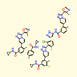 Cc1c(F)cc(C(=O)NC2CC2)cc1-c1ccn2c(-c3c(F)cccc3Cl)nnc2c1.Cc1ccc(C(=O)NC2CC2)cc1.Cc1ccc(C(=O)NC2CC2)cc1-c1ccn2c(-c3ocnc3C)nnc2c1.Cc1ccc(C(=O)Nc2ccnn2C)cc1-c1ccn2c(-c3ocnc3C)nnc2c1